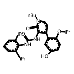 CCCCn1ccc(-c2cc(O)ccc2OC(C)C)c(NC(=O)Nc2c(C(C)C)cccc2C(C)C)c1=O